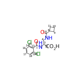 O=C(N[C@@H](CNC(=O)C1CCC1)C(=O)O)c1c(Cl)cccc1Cl